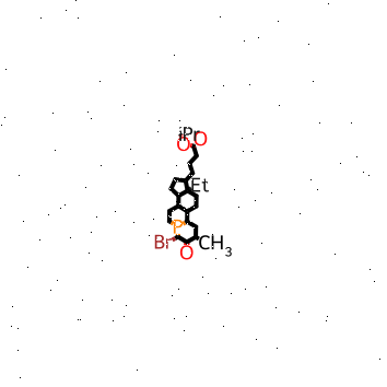 CCC12CCC3C(CCP4C(Br)C(=O)C(C)CC34)C1CCC2CCCC(=O)OC(C)C